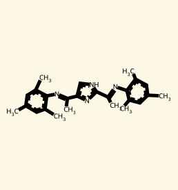 C/C(=N\c1c(C)cc(C)cc1C)c1c[nH]c(/C(C)=N/c2c(C)cc(C)cc2C)n1